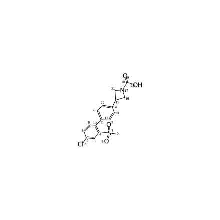 CS(=O)(=O)c1cc(Cl)ccc1-c1ccc(C2CN(C(=O)O)C2)cc1